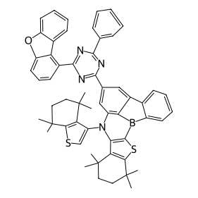 CC1(C)CCC(C)(C)c2c(N3c4cc(-c5nc(-c6ccccc6)nc(-c6cccc7oc8ccccc8c67)n5)cc5c4B(c4ccccc4-5)c4sc5c(c43)C(C)(C)CCC5(C)C)csc21